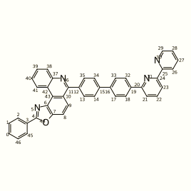 c1ccc(-c2nc3c(ccc4c(-c5ccc(-c6ccc(-c7cccc(-c8ccccn8)n7)cc6)cc5)nc5ccccc5c43)o2)cc1